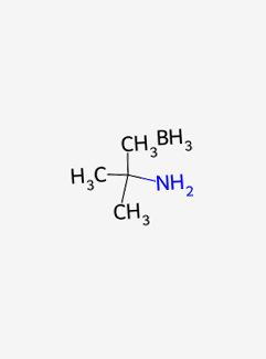 B.CC(C)(C)N